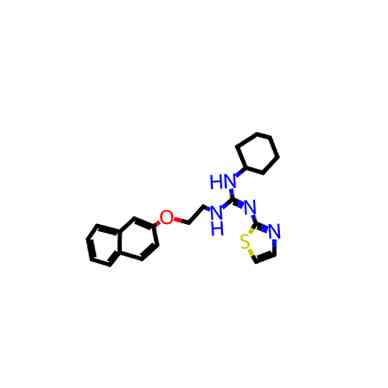 c1ccc2cc(OCCN/C(=N\c3nccs3)NC3CCCCC3)ccc2c1